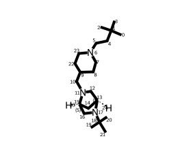 CC(C)(C)CCN1CCC(CN2C[C@@H]3C[C@H]2CN3C(C)(C)C)CC1